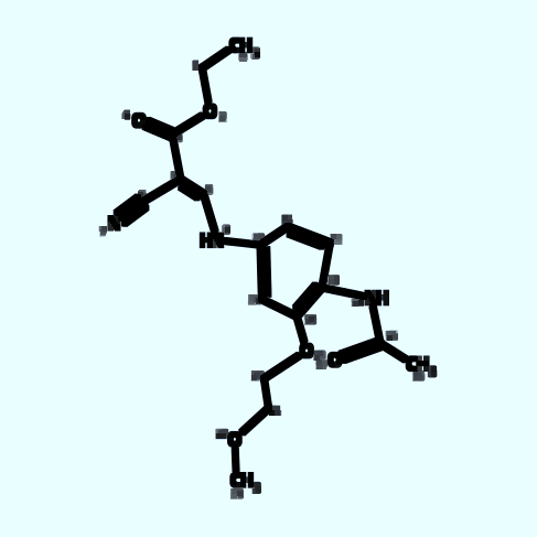 CCOC(=O)/C(C#N)=C/Nc1ccc(NC(C)=O)c(OCCOC)c1